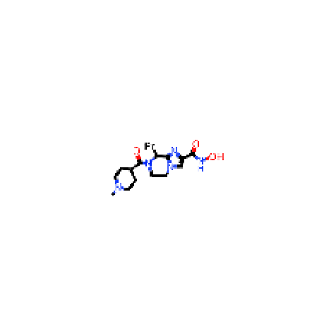 CC(C)C1c2nc(C(=O)NO)cn2CCN1C(=O)C1CCN(C)CC1